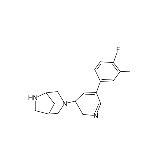 Cc1cc(C2=CC(N3CC4CNC(C4)C3)CN=C2)ccc1F